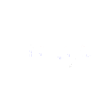 Cc1c[nH]c2c1C13C[C@@H]1CN(C(=O)c1cc4cc(NC(=O)c5cc6ccccc6[nH]5)ccc4[nH]1)C3=CC2=O